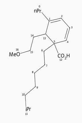 CCCC1=CC=CC(CCCCCC(C)C)(C(=O)O)C1CCOC